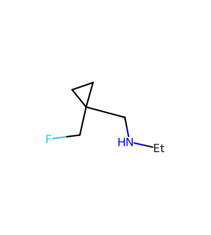 CCNCC1(CF)CC1